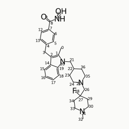 Cc1c(Cc2ccc(C(=O)NO)cc2)c2ccccc2n1CC1CCN(CC2(F)CCN(C)CC2)CC1